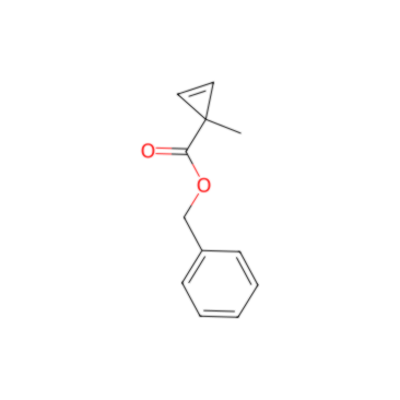 CC1(C(=O)OCc2ccccc2)C=C1